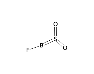 O=S(=O)=BF